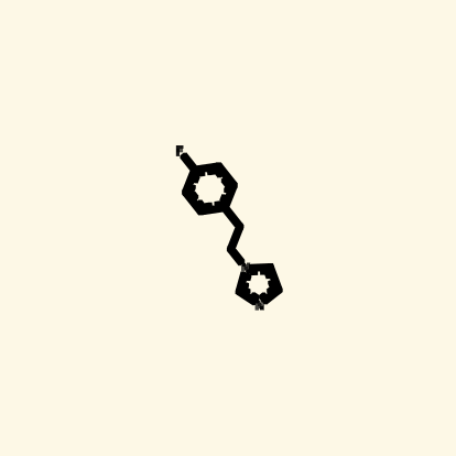 Fc1ccc(CCn2ccnc2)cc1